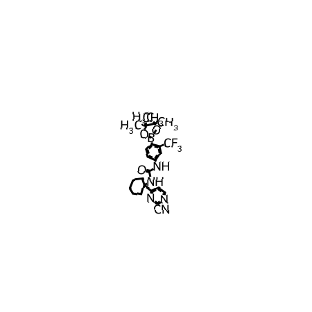 CC1(C)OB(c2ccc(NC(=O)NC3(c4ccnc(C#N)n4)CCCCC3)cc2C(F)(F)F)OC1(C)C